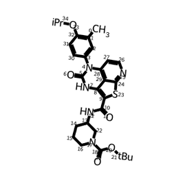 Cc1cc(N2C(=O)Nc3c(C(=O)NC4CCCN(C(=O)OC(C)(C)C)C4)sc4nccc2c34)ccc1OC(C)C